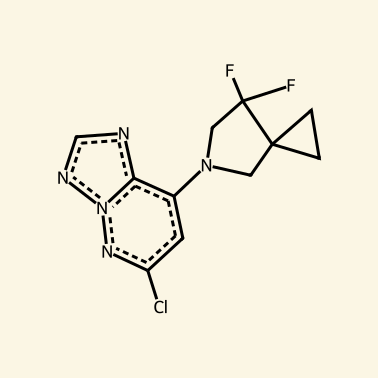 FC1(F)CN(c2cc(Cl)nn3ncnc23)CC12CC2